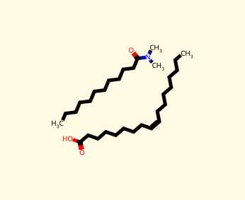 CCCCCCCC/C=C\CCCCCCCC(=O)O.CCCCCCCCCCCC(=O)N(C)C